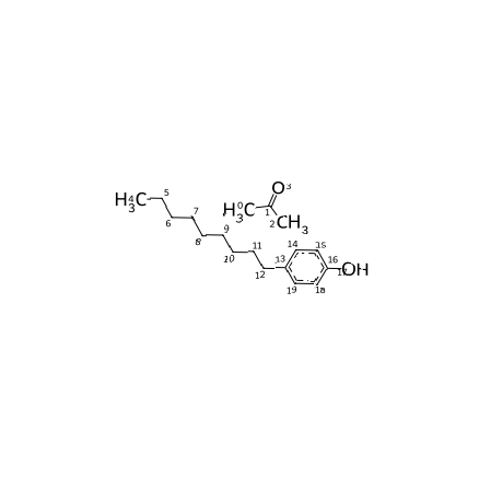 CC(C)=O.CCCCCCCCCc1ccc(O)cc1